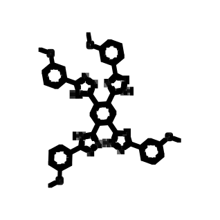 COc1cccc(-c2n[nH]c(-c3cc(-c4nc(-c5cccc(OC)c5)n[nH]4)c(-c4nnc(-c5cccc(OC)c5)[nH]4)cc3-c3nnc(-c4cccc(OC)c4)[nH]3)n2)c1